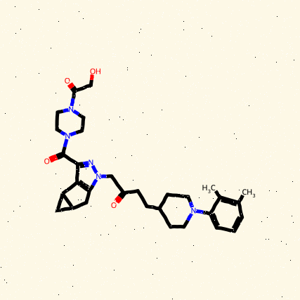 Cc1cccc(N2CCC(CCC(=O)Cn3nc(C(=O)N4CCN(C(=O)CO)CC4)c4c3CC3CC43)CC2)c1C